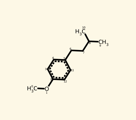 COc1ccc(CC[C](C)C)cc1